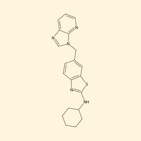 c1cnc2c(c1)ncn2Cc1ccc2nc(NC3CCCCC3)sc2c1